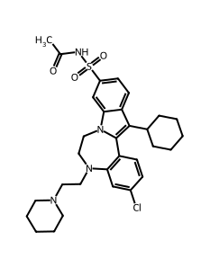 CC(=O)NS(=O)(=O)c1ccc2c(C3CCCCC3)c3n(c2c1)CCN(CCN1CCCCC1)c1cc(Cl)ccc1-3